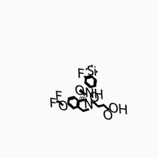 C[Si](C)(C)c1ccc(NC(=O)[C@H]2c3ccc(OC(F)F)cc3CCN2C(=O)CCC(=O)O)cc1F